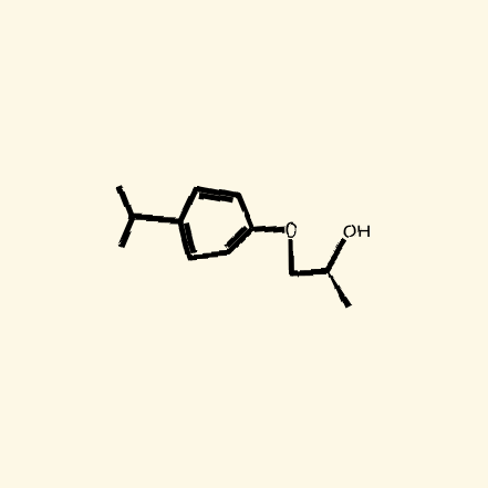 CC(C)c1ccc(OC[C@H](C)O)cc1